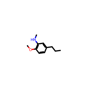 CCCc1ccc(OC)c(NC)c1